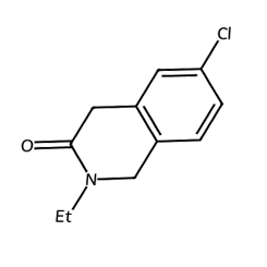 CCN1Cc2ccc(Cl)cc2CC1=O